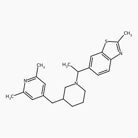 Cc1cc(CC2CCCN(C(C)c3ccc4nc(C)sc4c3)C2)cc(C)n1